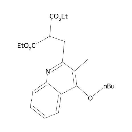 CCCCOc1c(C)c(CC(C(=O)OCC)C(=O)OCC)nc2ccccc12